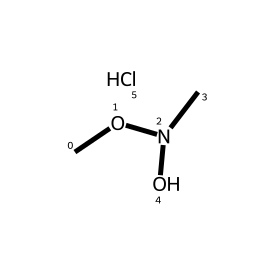 CON(C)O.Cl